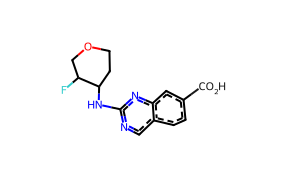 O=C(O)c1ccc2cnc(NC3CCOCC3F)nc2c1